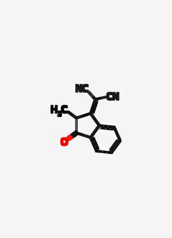 CC1C(=O)c2ccccc2C1=C(C#N)C#N